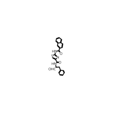 O=C[C@H](Cc1ccccc1)NC(=O)c1csc(NC(=O)c2ccc3ccccc3c2)n1